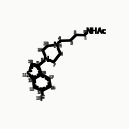 CC(=O)NCCCCN1CCN(c2csc3cc(F)ccc23)CC1